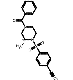 C#Cc1ccc(S(=O)(=O)N2CCN(C(=O)c3ccccc3)C[C@H]2C)cc1